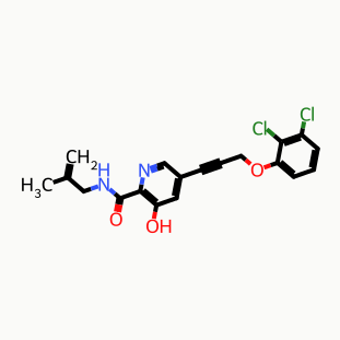 C=C(C)CNC(=O)c1ncc(C#CCOc2cccc(Cl)c2Cl)cc1O